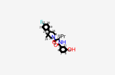 CC(C)[C@@H](NC(=O)c1cccc(O)c1)C(=O)N1CCC(c2ccc(F)cc2)C(C)(C)C1